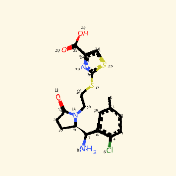 Cc1ccc(Cl)c(C(N)[C@H]2CCC(=O)N2CCSc2nc(C(=O)O)cs2)c1